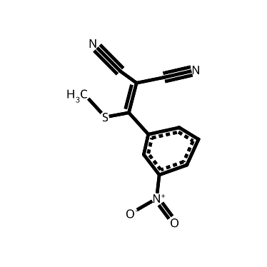 CSC(=C(C#N)C#N)c1cccc([N+](=O)[O-])c1